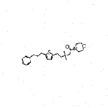 CC(C)(CCc1ccc(CCCc2ccccc2)s1)CC(=O)N1CCOCC1